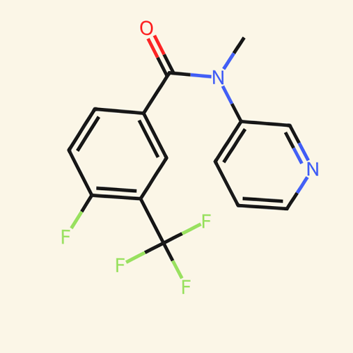 CN(C(=O)c1ccc(F)c(C(F)(F)F)c1)c1cccnc1